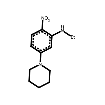 CCNc1cc(N2CCCCC2)ccc1[N+](=O)[O-]